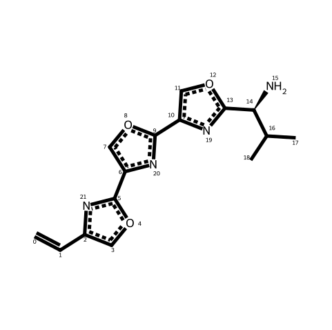 C=Cc1coc(-c2coc(-c3coc([C@@H](N)C(C)C)n3)n2)n1